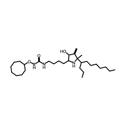 C=C1C(O)C(CCCCNC(=O)BOC2CCCCCCC2)NC1(C)C(CCC)CCCCCCC